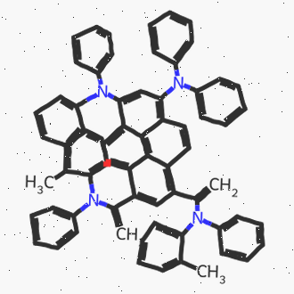 C=C(c1cc(C(=C)N(c2ccccc2)c2ccccc2C)c2ccc3c(N(c4ccccc4)c4ccccc4)cc(N(c4ccccc4)c4ccccc4)c4ccc1c2c43)N(c1ccccc1)c1ccccc1C